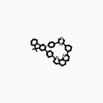 CC1(C)c2ccccc2-c2ccc(-c3ccc(-c4ccc5ccc6ccc(-c7cccc(-c8cncc(-c9ccccc9)n8)c7)nc6c5n4)cc3)cc21